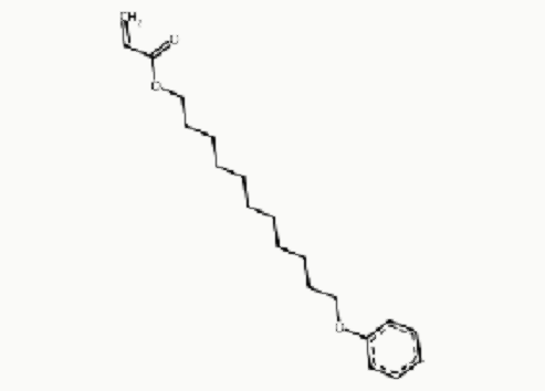 C=CC(=O)OCCCCCCCCCCCOc1cc[c]cc1